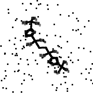 CC(C)(C)c1nnc(C(C)(C)CCC(C)(C)c2cn(C(C)(C)C)nn2)o1